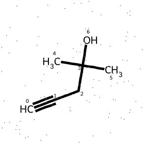 C#CCC(C)(C)O